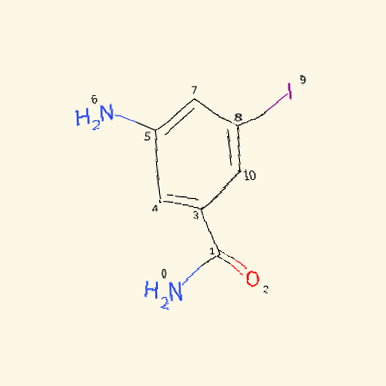 NC(=O)c1cc(N)cc(I)c1